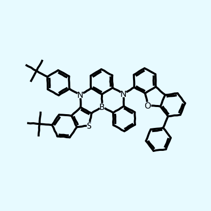 CC(C)(C)c1ccc(N2c3cccc4c3B(c3ccccc3N4c3cccc4c3oc3c(-c5ccccc5)cccc34)c3sc4ccc(C(C)(C)C)cc4c32)cc1